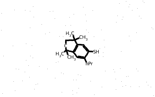 CCCc1cc2c(cc1S)C(C)(C)CCC2(C)C